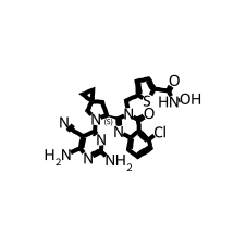 N#Cc1c(N)nc(N)nc1N1CC2(CC2)C[C@H]1c1nc2cccc(Cl)c2c(=O)n1Cc1ccc(C(=O)NO)s1